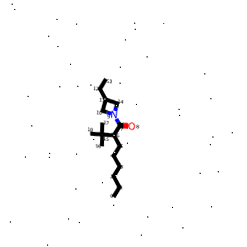 CCCCCCC(C(=O)N1CC(CC)C1)C(C)(C)C